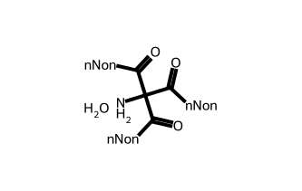 CCCCCCCCCC(=O)C(N)(C(=O)CCCCCCCCC)C(=O)CCCCCCCCC.O